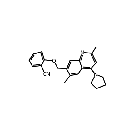 Cc1cc(N2CCCC2)c2cc(C)c(COc3ccccc3C#N)cc2n1